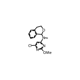 COc1nc(Cl)cc(N(C)C2OCCc3ccccc32)n1